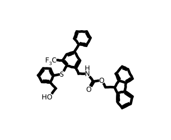 O=C(NCc1cc(-c2ccccc2)cc(C(F)(F)F)c1Sc1ccccc1CO)OCC1c2ccccc2-c2ccccc21